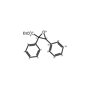 CCOC(=O)C1(c2ccccc2)OC1c1ccccc1